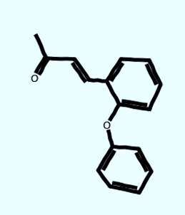 CC(=O)/C=C/c1ccccc1Oc1ccccc1